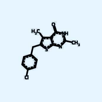 Cc1nc2sc(Cc3ccc(Cl)cc3)c(C)c2c(=O)[nH]1